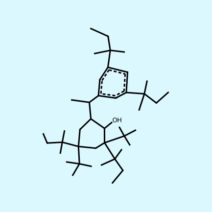 CCC(C)(C)c1[c]c(C(C)C2CC(C(C)(C)C)(C(C)(C)CC)CC(C(C)(C)C)(C(C)(C)CC)C2O)cc(C(C)(C)CC)c1